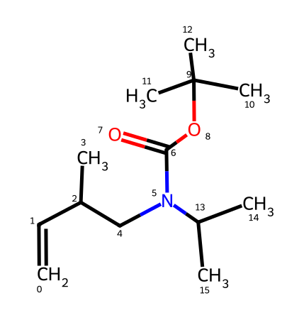 C=CC(C)CN(C(=O)OC(C)(C)C)C(C)C